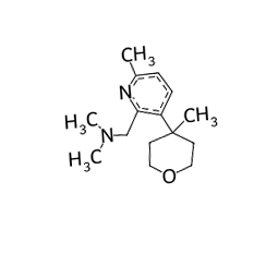 Cc1ccc(C2(C)CCOCC2)c(CN(C)C)n1